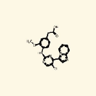 COc1cc(CC(=O)O)ccc1Nc1ncc(Cl)c(-c2cnc3ccccn23)n1